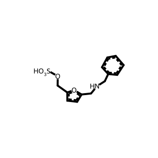 O=S(=O)(O)OCc1ccc(CNCc2ccccc2)o1